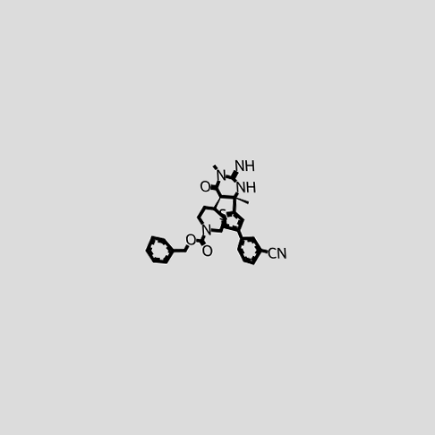 CN1C(=N)N[C@](C)(c2cc(-c3cccc(C#N)c3)cs2)[C@@H](C2CCN(C(=O)OCc3ccccc3)CC2)C1=O